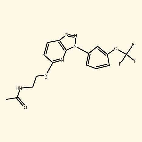 CC(=O)NCCNc1ccc2nnn(-c3cccc(OC(F)(F)F)c3)c2n1